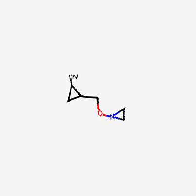 N#CC1CC1CON1CC1